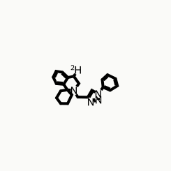 [2H]C1CN(Cc2cn(-c3ccccc3)nn2)C2(CCCCC2)c2ccccc21